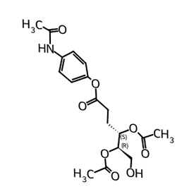 CC(=O)Nc1ccc(OC(=O)CC[C@H](OC(C)=O)[C@@H](CO)OC(C)=O)cc1